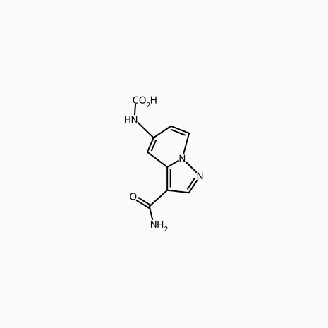 NC(=O)c1cnn2ccc(NC(=O)O)cc12